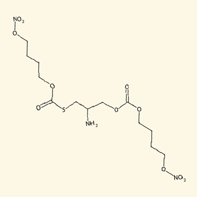 NC(COC(=O)OCCCCO[N+](=O)[O-])CSC(=O)OCCCCO[N+](=O)[O-]